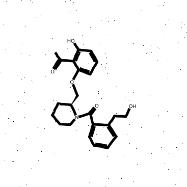 CC(=O)c1c(O)cccc1OC[C@@H]1CCCCN1C(=O)c1ccccc1CCO